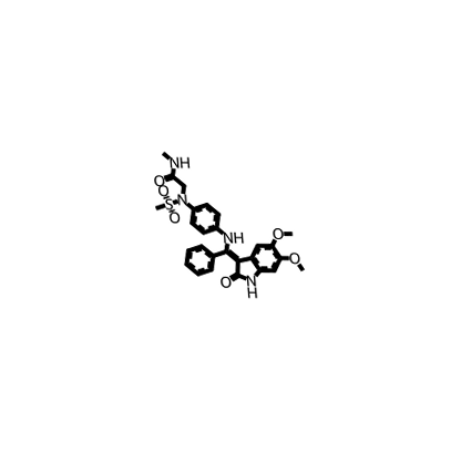 CNC(=O)CN(c1ccc(NC(=C2C(=O)Nc3cc(OC)c(OC)cc32)c2ccccc2)cc1)S(C)(=O)=O